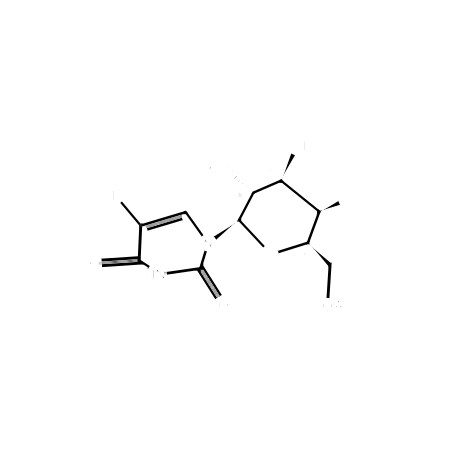 CC(=O)OC[C@H]1O[C@@H](n2cc(F)c(=O)[nH]c2=O)[C@H](OC(C)=O)[C@@H](O)[C@H]1O